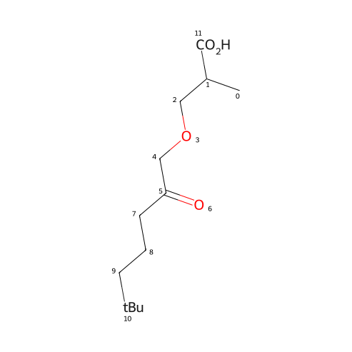 CC(COCC(=O)CCCC(C)(C)C)C(=O)O